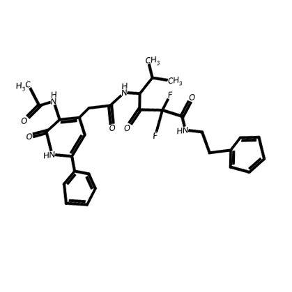 CC(=O)Nc1c(CC(=O)NC(C(=O)C(F)(F)C(=O)NCCc2ccccc2)C(C)C)cc(-c2ccccc2)[nH]c1=O